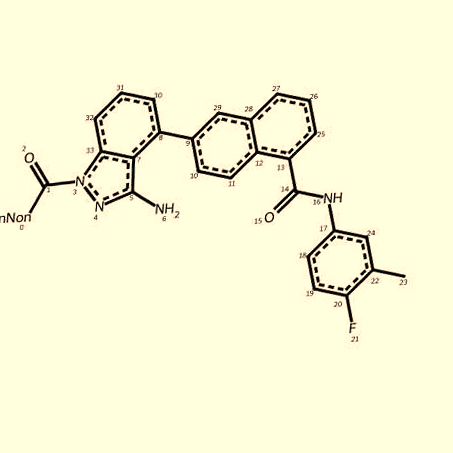 CCCCCCCCCC(=O)n1nc(N)c2c(-c3ccc4c(C(=O)Nc5ccc(F)c(C)c5)cccc4c3)cccc21